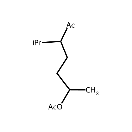 CC(=O)OC(C)CCC(C(C)=O)C(C)C